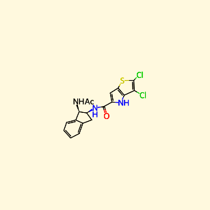 CC(=O)N[C@@H]1c2ccccc2C[C@@H]1NC(=O)c1cc2sc(Cl)c(Cl)c2[nH]1